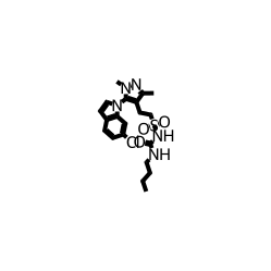 CCCCNC(=O)NS(=O)(=O)CCc1c(C)nn(C)c1-n1ccc2ccc(Cl)cc21